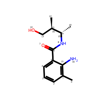 Cc1cccc(C(=O)N[C@@H](C)[C@H](C)CO)c1N